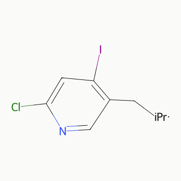 C[C](C)Cc1cnc(Cl)cc1I